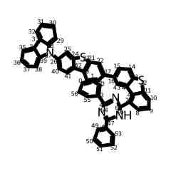 c1ccc(C2=NC(c3cccc4sc5ccc(-c6ccc7c(c6)sc6cc(-n8c9ccccc9c9ccccc98)ccc67)cc5c34)NC(c3ccccc3)=N2)cc1